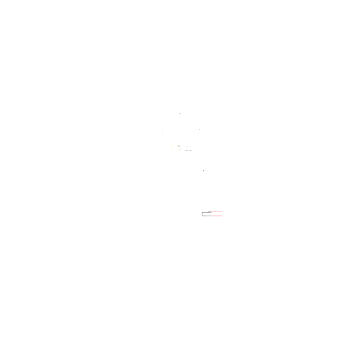 CS(=O)(=O)O.N[C@H](CC(=O)O)c1cccs1